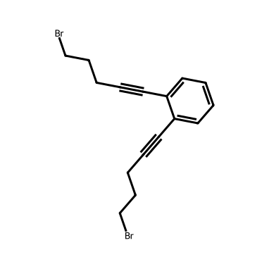 BrCCCC#Cc1ccccc1C#CCCCBr